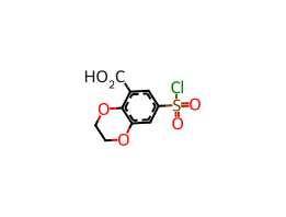 O=C(O)c1cc(S(=O)(=O)Cl)cc2c1OCCO2